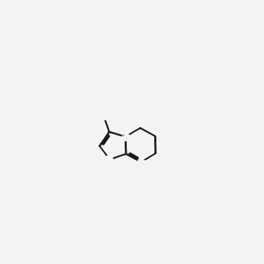 CC(C)(C)C1=CSC2=NCCCN12